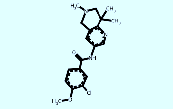 COc1ccc(C(=O)Nc2cnc3c(c2)CN(C)CC3(C)C)cc1Cl